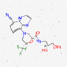 N#Cc1ccc(N2C[C@@H](C(F)(F)F)O[C@@H](C(=O)NC[C@@H](O)CO)C2)c2nccnc12